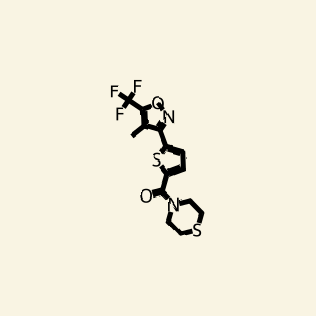 Cc1c(-c2ccc(C(=O)N3CCSCC3)s2)noc1C(F)(F)F